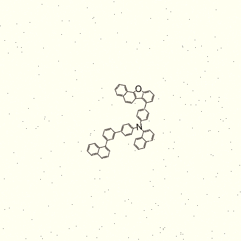 c1cc(-c2ccc(N(c3ccc(-c4cccc5oc6c7ccccc7ccc6c45)cc3)c3cccc4ccccc34)cc2)cc(-c2cccc3ccccc23)c1